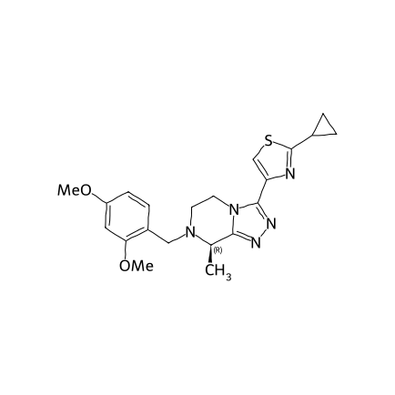 COc1ccc(CN2CCn3c(-c4csc(C5CC5)n4)nnc3[C@H]2C)c(OC)c1